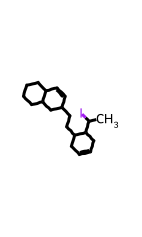 CC(I)C1CC=CCC1CCC1C=CC2CCCCC2C1